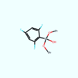 CC(C)O[Si](O)(OC(C)C)c1c(F)cc(F)cc1F